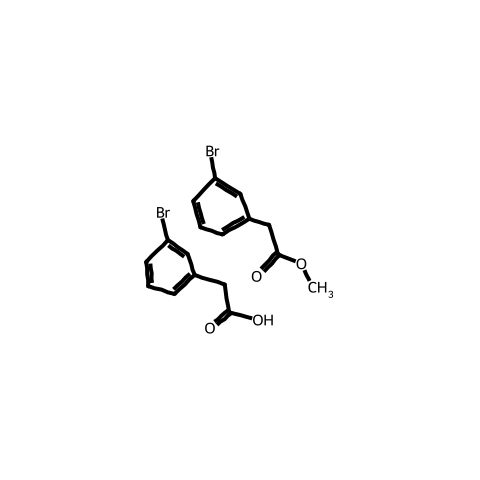 COC(=O)Cc1cccc(Br)c1.O=C(O)Cc1cccc(Br)c1